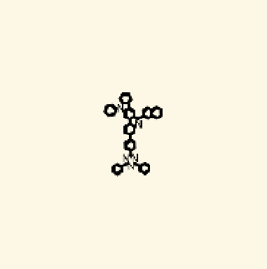 c1ccc(-c2nc(-c3ccccc3)nc(-c3ccc(-c4ccc5c(c4)nc(-c4ccc6ccccc6c4)c4cc6c7ccccc7n(-c7ccccc7)c6cc45)cc3)n2)cc1